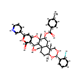 C[C@]12CC[C@@H]3O[C@H](c4ccccc4F)OC[C@@]3(C)C1C[C@H](OC(=O)c1ccc(C#N)cc1)[C@@]1(C)Oc3cc(-c4cccnc4)oc(=O)c3[C@H](O)C21